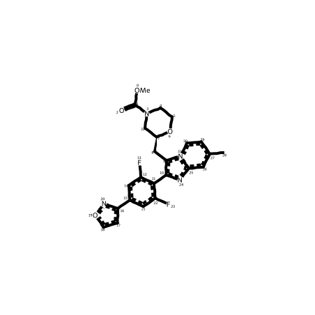 COC(=O)N1CCO[C@@H](Cc2c(-c3c(F)cc(-c4ccon4)cc3F)nc3cc(C)ccn23)C1